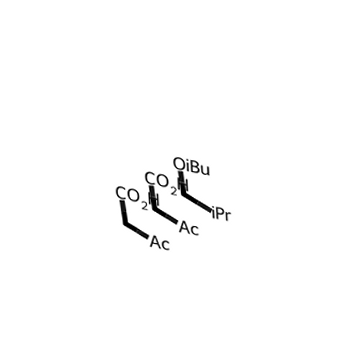 CC(=O)CC(=O)O.CC(=O)CC(=O)O.CC(C)COCC(C)C